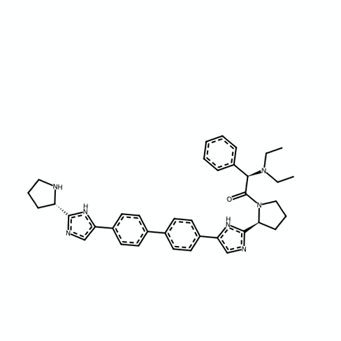 CCN(CC)[C@@H](C(=O)N1CCC[C@H]1c1ncc(-c2ccc(-c3ccc(-c4cnc([C@@H]5CCCN5)[nH]4)cc3)cc2)[nH]1)c1ccccc1